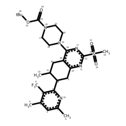 Cc1cc(C)c(C(F)(F)F)c(C2Cc3nc(S(C)(=O)=O)nc(N4CCN(C(=O)OC(C)(C)C)CC4)c3CC2C)n1